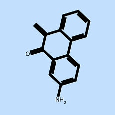 C=C1C(=O)c2cc(N)ccc2-c2ccccc21